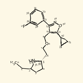 CCC1CC[C@@H](CCOCc2c(-c3cccc(F)c3)noc2C2CC2)N1